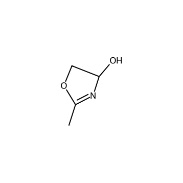 CC1=NC(O)CO1